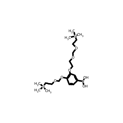 C[Si](C)(C)CCOCOCCOc1cc(B(O)O)ccc1OCOCC[Si](C)(C)C